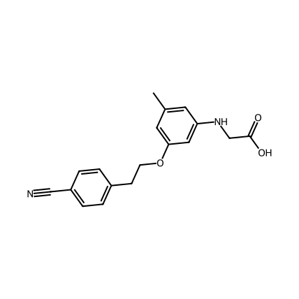 Cc1cc(NCC(=O)O)cc(OCCc2ccc(C#N)cc2)c1